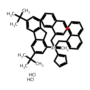 Cl.Cl.[CH2]=[Zr]([CH2]c1cccc2ccccc12)([CH2]c1cccc2ccccc12)([C]1=CC=CC1)[c]1cc(C(C)(C)C)cc2c1Cc1ccc(C(C)(C)C)cc1-2